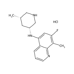 Cc1c(F)cc(N[C@H]2CNC[C@@H](C)C2)c2cccnc12.Cl